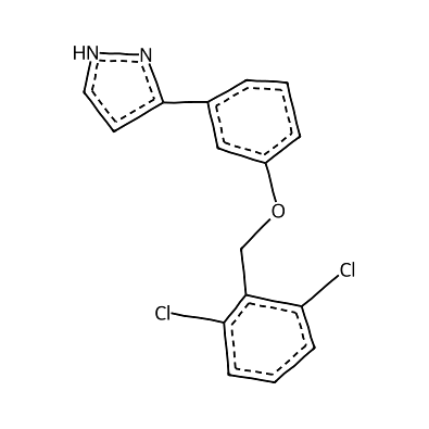 Clc1cccc(Cl)c1COc1cccc(-c2cc[nH]n2)c1